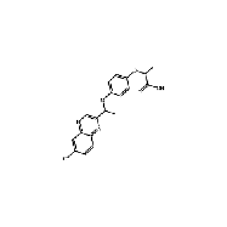 CC(Oc1ccc(OC(C)c2cnc3cc(Cl)ccc3n2)cc1)C(=O)O